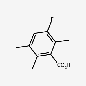 Cc1cc(F)c(C)c(C(=O)O)c1C